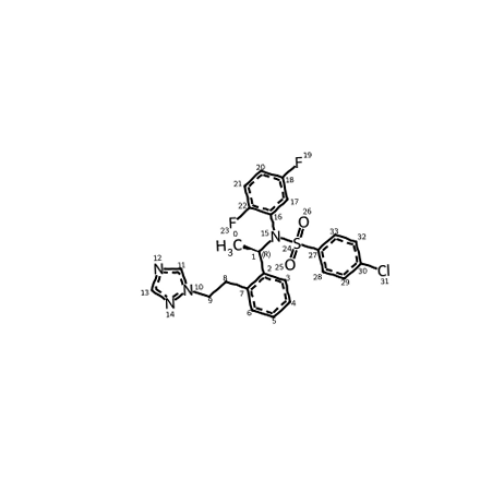 C[C@H](c1ccccc1CCn1cncn1)N(c1cc(F)ccc1F)S(=O)(=O)c1ccc(Cl)cc1